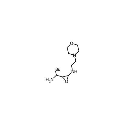 CCC(C)C(N)C1OC1NCCN1CCOCC1